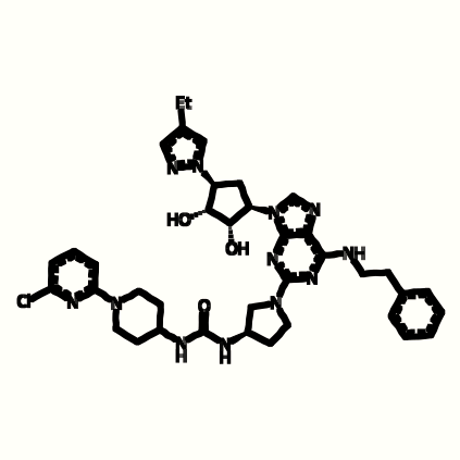 CCc1cnn([C@H]2C[C@@H](n3cnc4c(NCCc5ccccc5)nc(N5CC[C@@H](NC(=O)NC6CCN(c7cccc(Cl)n7)CC6)C5)nc43)[C@H](O)[C@@H]2O)c1